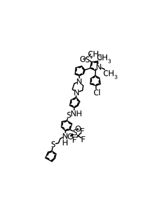 CCn1c(C)c([S+](C)[O-])c(-c2cccc(N3CCN(c4ccc(NSc5ccc(NCCSc6ccccc6)c(S(=O)(=O)C(F)(F)F)c5)cc4)CC3)c2)c1-c1ccc(Cl)cc1